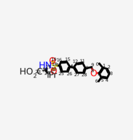 Cc1cccc(C)c1OCc1ccc(-c2ccc(S(=O)(=O)N[C@@H](C(=O)O)C(C)C)cc2)cc1